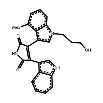 CSc1cccc2c1c(C1=C(c3c[nH]c4ccccc34)C(=O)NC1=O)cn2CCCO